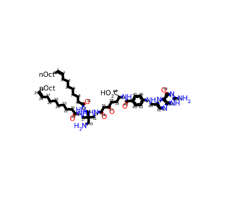 CCCCCCCC/C=C\CCCCCCCC(=O)NCC(CN)(CNC(=O)CCCCCCC/C=C\CCCCCCCC)CNC(=O)CC(=O)CC[C@H](NC(=O)c1ccc(NCc2cnc3[nH]c(N)nc(=O)c3n2)cc1)C(=O)O